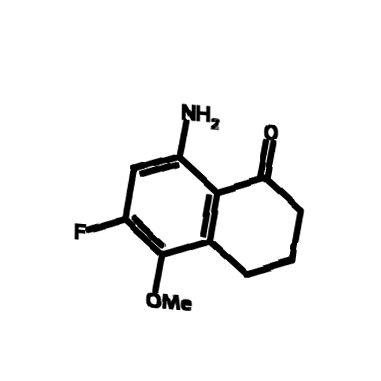 COc1c(F)cc(N)c2c1CCCC2=O